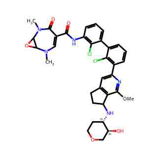 COc1nc(-c2cccc(-c3cccc(NC(=O)C4=CN(C)C5OC5N(C)C4=O)c3Cl)c2Cl)cc2c1C(N[C@H]1CCOC[C@@H]1O)CC2